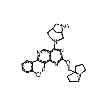 Fc1c(-c2ccccc2Cl)ncc2c(N3CCC4CNC(C4)C3)nc(OCC34CCCN3CCC4)nc12